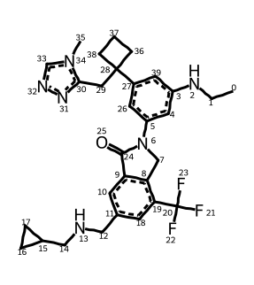 CCNc1cc(N2Cc3c(cc(CNCC4CC4)cc3C(F)(F)F)C2=O)cc(C2(Cc3nncn3C)CCC2)c1